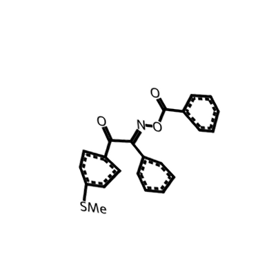 CSc1ccc(C(=O)/C(=N/OC(=O)c2ccccc2)c2ccccc2)cc1